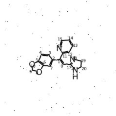 C(=C(c1ccc2c(c1)OCO2)c1ccccn1)C1=NCCN1